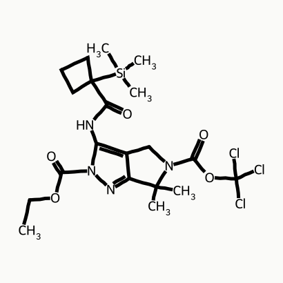 CCOC(=O)n1nc2c(c1NC(=O)C1([Si](C)(C)C)CCC1)CN(C(=O)OC(Cl)(Cl)Cl)C2(C)C